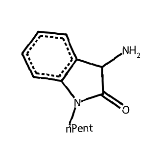 CCCCCN1C(=O)C(N)c2ccccc21